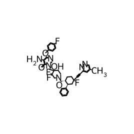 Cc1cnnc(C#C[C@@]2(F)CC[C@@H](C(=O)N3CC[C@](O)(Cn4cnc(Oc5ccc(F)cc5)c(N)c4=O)C(F)(F)C3)[C@H](c3ccccc3)C2)c1